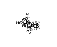 CC1(C)Cc2c(sc(-n3cc(C(O)CO)c(C(N)=O)n3)c2C(N)=O)C(C)(C)O1